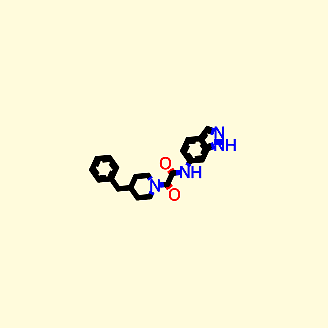 O=C(Nc1ccc2cn[nH]c2c1)C(=O)N1CCC(Cc2ccccc2)CC1